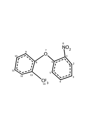 O=[N+]([O-])c1ccccc1Oc1ccccc1C(F)(F)F